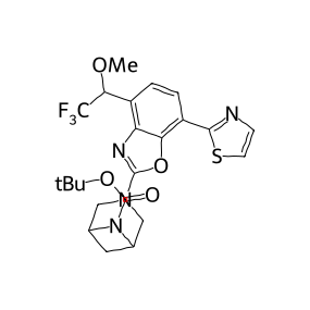 COC(c1ccc(-c2nccs2)c2oc(N3CC4CC(C3)N4C(=O)OC(C)(C)C)nc12)C(F)(F)F